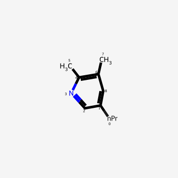 CCCc1cnc(C)c(C)c1